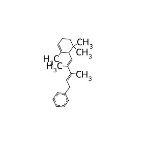 CC1=CCCC(C)(C)C1/C=C(C)/C(C)=C/Cc1ccccc1